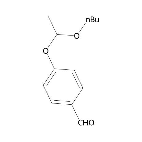 CCCCOC(C)Oc1ccc(C=O)cc1